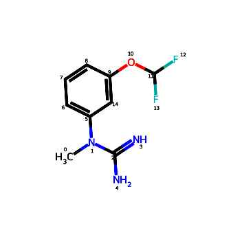 CN(C(=N)N)c1cccc(OC(F)F)c1